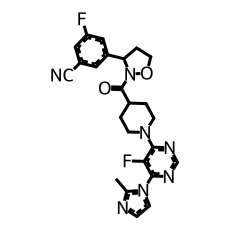 Cc1nccn1-c1ncnc(N2CCC(C(=O)N3OCCC3c3cc(F)cc(C#N)c3)CC2)c1F